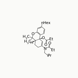 CCCCCCc1ccc2c(c1)OC(C)(C)[C@H]1CCC(N(CC(C)C)C(=O)CC)=C[C@@]21OC(=O)CC